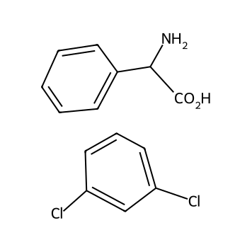 Clc1cccc(Cl)c1.NC(C(=O)O)c1ccccc1